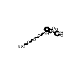 CCOCCOCCOCCOCCNc1cccc2c1CN(C1CCC(=O)NC1=O)C2=O